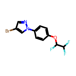 FC(F)C(F)Oc1ccc(-n2cc(Br)cn2)cc1